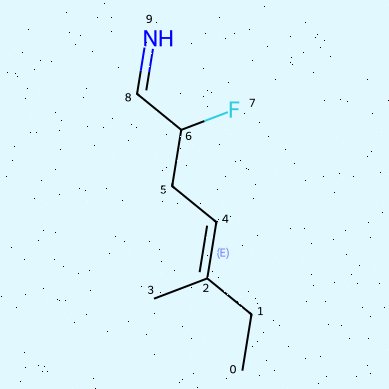 CC/C(C)=C/CC(F)C=N